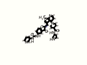 Cn1cc(/C=C2\Oc3ccc(NC(=O)Nc4cccnc4)cc3C2=O)c2c(N3CCC(C(=O)N[C@H]4CCNC4)CC3)ccnc21